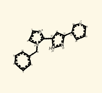 c1ccc(Cn2ccnc2-c2cc(-c3cccnc3)n[nH]2)cc1